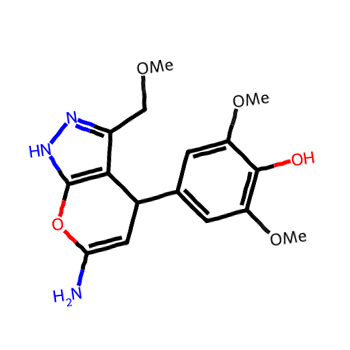 COCc1n[nH]c2c1C(c1cc(OC)c(O)c(OC)c1)C=C(N)O2